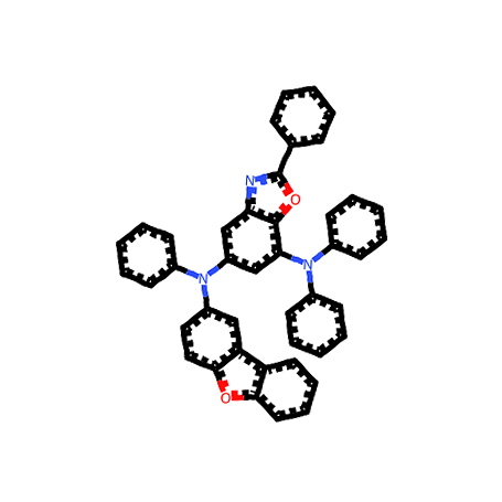 c1ccc(-c2nc3cc(N(c4ccccc4)c4ccc5oc6ccccc6c5c4)cc(N(c4ccccc4)c4ccccc4)c3o2)cc1